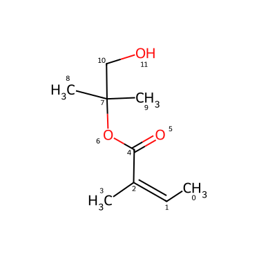 CC=C(C)C(=O)OC(C)(C)CO